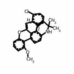 COc1cccc2c1-c1ccc3c(c1/C(=C\c1c(Cl)cccc1Cl)O2)C(C)=CC(C)(C)N3